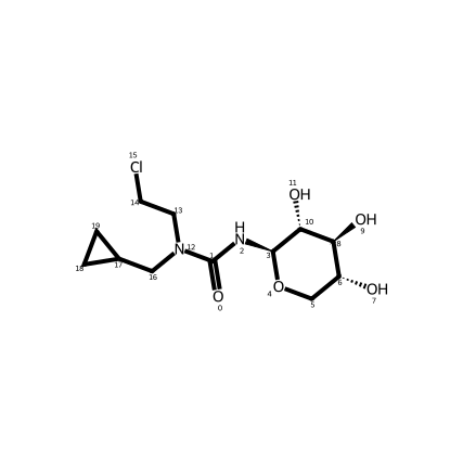 O=C(N[C@@H]1OC[C@@H](O)[C@H](O)[C@H]1O)N(CCCl)CC1CC1